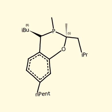 CCCCCc1ccc2c(c1)O[C@](C)(CC(C)C)P(C)C2[C@H](C)CC